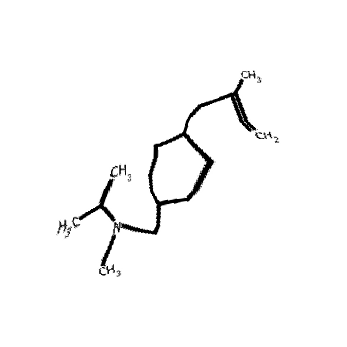 C=C(C)CC1CCC(CN(C)C(C)C)CC1